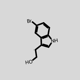 OC[CH]c1c[nH]c2ccc(Br)cc12